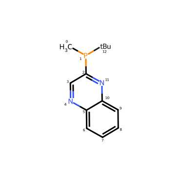 CP(c1cnc2ccccc2n1)C(C)(C)C